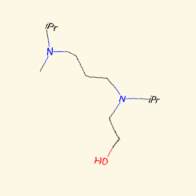 CC(C)N(C)CCCN(CCO)C(C)C